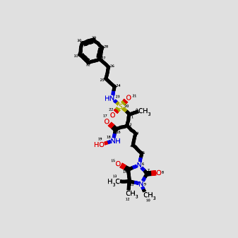 CC(C(CCCN1C(=O)N(C)C(C)(C)C1=O)C(=O)NO)S(=O)(=O)NCCCc1ccccc1